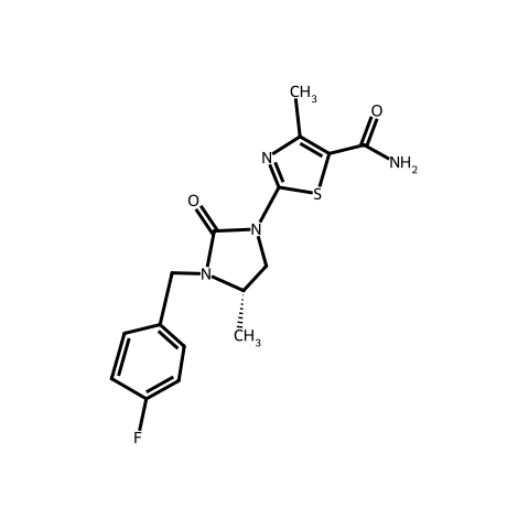 Cc1nc(N2C[C@H](C)N(Cc3ccc(F)cc3)C2=O)sc1C(N)=O